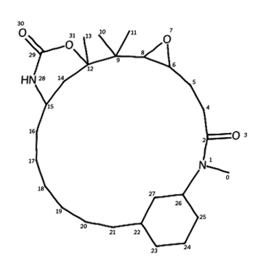 CN1C(=O)CCC2OC2C(C)(C)C2(C)CC(CCCCCCC3CCCC1C3)NC(=O)O2